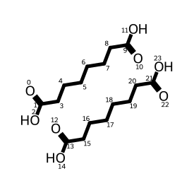 O=C(O)CCCCCCC(=O)O.O=C(O)CCCCCCC(=O)O